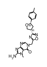 Cc1ccc([C@H]2C[C@H](c3noc(Cn4cnc5nc(N)n(C)c5c4=O)n3)CO2)cc1